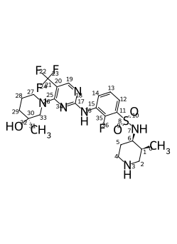 C[C@H]1CNCC[C@H]1NS(=O)(=O)c1cccc(Nc2ncc(C(F)(F)F)c(N3CCC[C@](C)(O)C3)n2)c1F